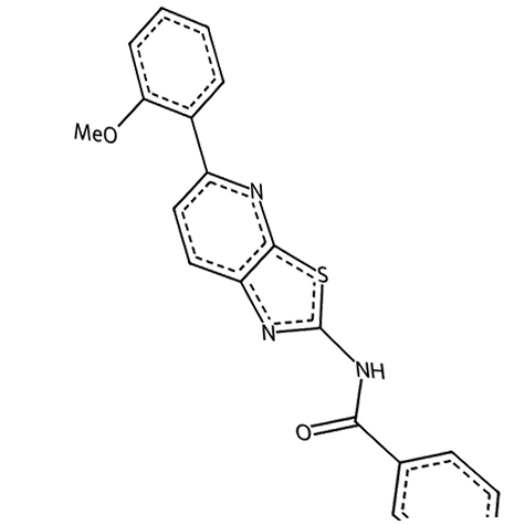 COc1ccccc1-c1ccc2nc(NC(=O)c3ccncc3)sc2n1